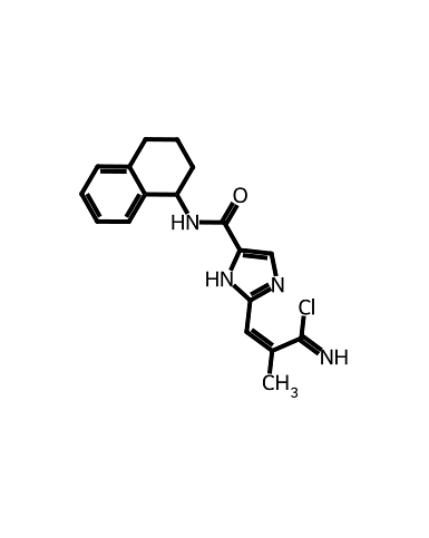 C/C(=C/c1ncc(C(=O)NC2CCCc3ccccc32)[nH]1)C(=N)Cl